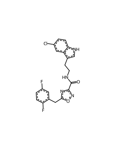 O=C(NCCc1c[nH]c2ccc(Cl)cc12)c1noc(Cc2cc(F)ccc2F)n1